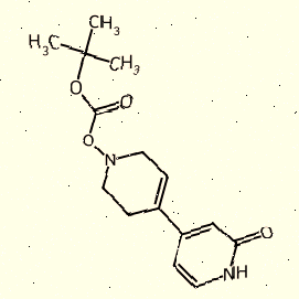 CC(C)(C)OC(=O)ON1CC=C(c2cc[nH]c(=O)c2)CC1